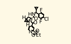 CCS(=O)(=O)c1cc(C(=O)N2[C@@H](C(=O)NC(c3cc(F)c(Cl)cc3F)C3CC3)C[C@H]3C[C@H]32)ccn1